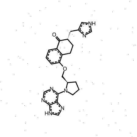 O=C1c2cccc(OC[C@H]3CCCN3c3ncnc4[nH]cnc34)c2CC[C@H]1Cc1c[nH]cn1